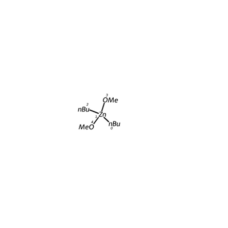 CCC[CH2][Zn]([CH2]CCC)([O]C)[O]C